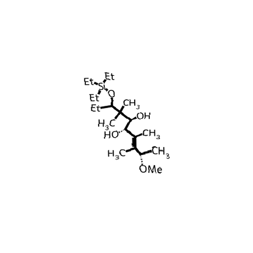 CCC(O[Si](CC)(CC)CC)C(C)(C)[C@@H](O)[C@@H](O)/C(C)=C(\C)[C@H](C)OC